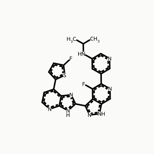 CC(C)Nc1cncc(-c2ncc3[nH]nc(-c4nc5c(-c6ccc(F)s6)ccnc5[nH]4)c3c2F)c1